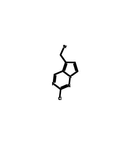 Clc1ncc2c(CBr)ccn2n1